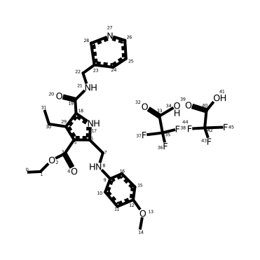 CCOC(=O)c1c(CNc2ccc(OC)cc2)[nH]c(C(=O)NCc2cccnc2)c1CC.O=C(O)C(F)(F)F.O=C(O)C(F)(F)F